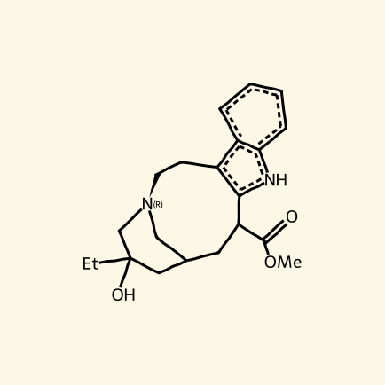 CCC1(O)CC2CC(C(=O)OC)c3[nH]c4ccccc4c3CC[N@@](C2)C1